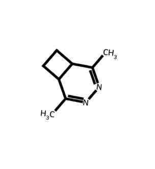 CC1=NN=C(C)C2CCC12